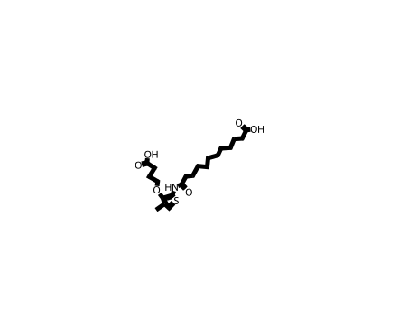 Cc1csc(NC(=O)CCCCCCCCCCC(=O)O)c1OCCCC(=O)O